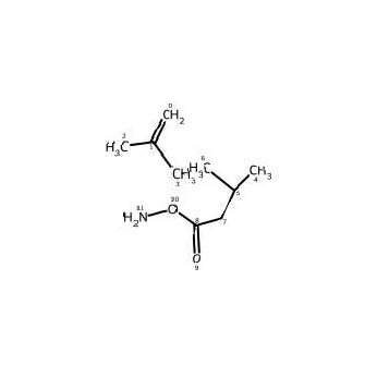 C=C(C)C.CC(C)CC(=O)ON